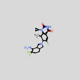 CC1c2c(c(=O)[nH]c(=O)n2C2CC2)C=C(F)C1N1CC2CCC(F)(F)C(N)C2C1